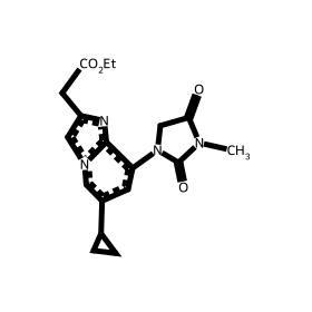 CCOC(=O)Cc1cn2cc(C3CC3)cc(N3CC(=O)N(C)C3=O)c2n1